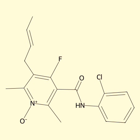 CC=CCc1c(F)c(C(=O)Nc2ccccc2Cl)c(C)[n+]([O-])c1C